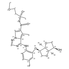 COCCS(C)(=O)=NC(=O)c1cn2ncnc(Nc3ccc(F)cc3O[C@@H]3CO[C@H]4[C@@H]3OC[C@H]4O)c2c1C